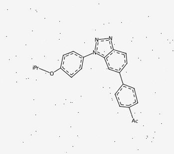 CC(=O)c1ccc(-c2ccc3nnn(-c4ccc(OC(C)C)cc4)c3c2)cc1